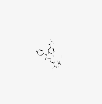 CNC(=O)c1cccc(C(c2ccc(F)cc2)N(C)C(=O)C=C2OC(C)(C)OC2=O)c1